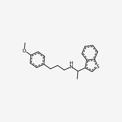 COc1ccc(CCCNC(C)c2csc3ccccc23)cc1